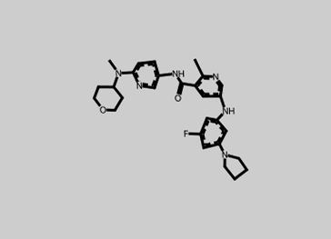 Cc1ncc(Nc2cc(F)cc(N3CCCC3)c2)cc1C(=O)Nc1ccc(N(C)C2CCOCC2)nc1